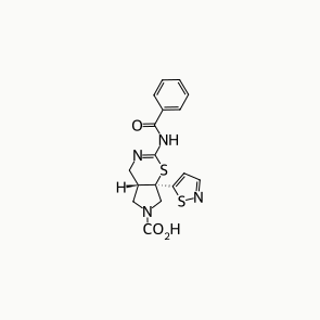 O=C(NC1=NC[C@H]2CN(C(=O)O)C[C@]2(c2ccns2)S1)c1ccccc1